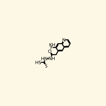 O=C(Cc1cc2cccnc2cc1F)NNC(=S)S.[KH]